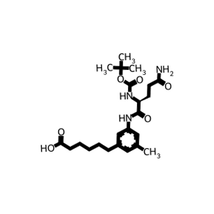 Cc1cc(CCCCCC(=O)O)cc(NC(=O)[C@H](CCC(N)=O)NC(=O)OC(C)(C)C)c1